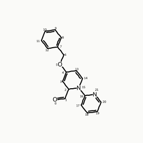 O=CC1C=C(OCc2ccccc2)C=CN1c1ccccn1